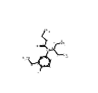 CCCC(=O)N(c1ccc(F)c(CC)c1)C(CC)CC